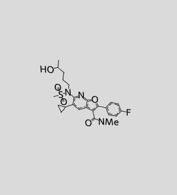 CNC(=O)c1c(-c2ccc(F)cc2)oc2nc(N(CCCC(C)O)S(C)(=O)=O)c(C3CC3)cc12